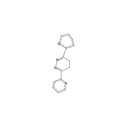 c1ccc(C2=NN=C(c3ccccn3)CC2)nc1